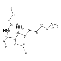 CCCCNC(CC)C(CCC)C(N)CCCCCN